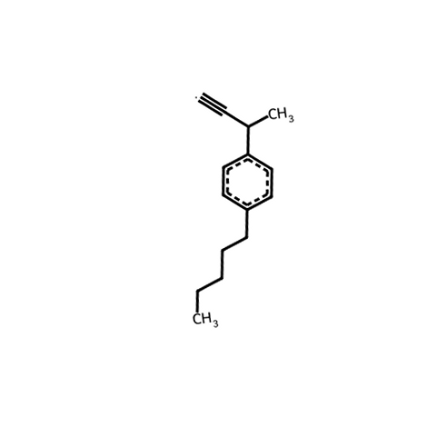 [C]#CC(C)c1ccc(CCCCC)cc1